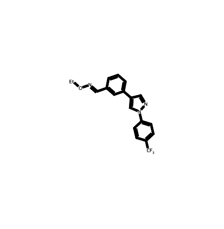 CCO/N=C/c1cccc(-c2cnn(-c3ccc(C(F)(F)F)cc3)c2)c1